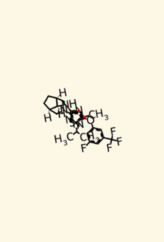 Cc1cc(N2C[C@H]3CC[C@@H](C2)[C@H]3Nc2nc(Oc3cc(F)cc(C(F)(F)F)c3)n(C(C)C)n2)sn1